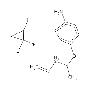 C=C[SiH2]C(C)Oc1ccc(N)cc1.FC1CC1(F)F